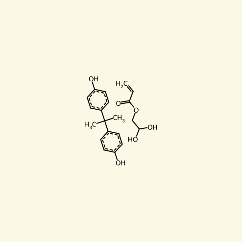 C=CC(=O)OCC(O)O.CC(C)(c1ccc(O)cc1)c1ccc(O)cc1